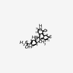 Cc1ccc(C(C)O)cc1Nc1nc2ccc(F)cc2c2c(=O)[nH]ccc12